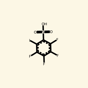 O=S(=O)(O)c1c(F)c(F)c(F)c(F)c1I